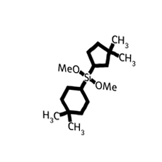 CO[Si](OC)(C1CCC(C)(C)CC1)C1CCC(C)(C)C1